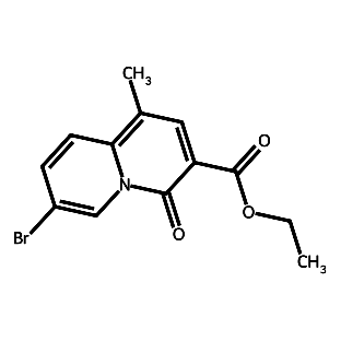 CCOC(=O)c1cc(C)c2ccc(Br)cn2c1=O